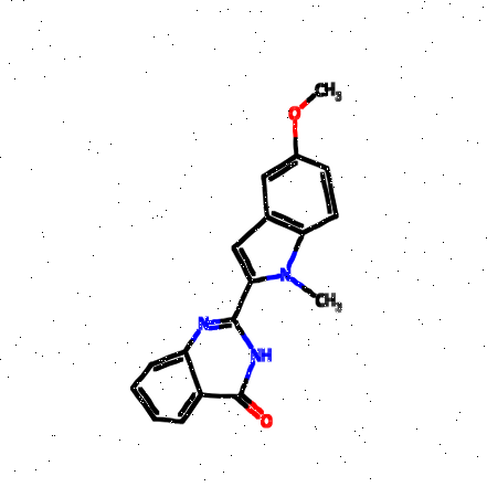 COc1ccc2c(c1)cc(-c1nc3ccccc3c(=O)[nH]1)n2C